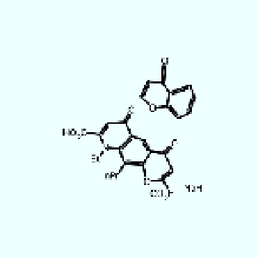 CCCc1c2oc(C(=O)O)cc(=O)c2cc2c(=O)cc(C(=O)O)n(CC)c12.O=c1ccoc2ccccc12.[NaH]